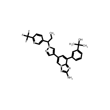 CCC(c1ccc(C(F)(F)F)nc1)n1cc(-c2cc(-c3cccc(C(C)(C)O)c3)c3nc(N)nn3c2)cn1